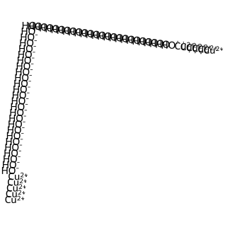 [Cu+2].[Cu+2].[Cu+2].[Cu+2].[Cu+2].[Cu+2].[Cu+2].[Cu+2].[Cu+2].[Cu+2].[Cu+2].[OH-].[OH-].[OH-].[OH-].[OH-].[OH-].[OH-].[OH-].[OH-].[OH-].[OH-].[OH-].[OH-].[OH-].[OH-].[OH-].[OH-].[OH-].[OH-].[OH-].[OH-].[OH-].[OH-].[OH-].[OH-].[OH-].[OH-].[OH-].[OH-].[OH-].[OH-].[OH-].[OH-].[OH-].[OH-].[OH-].[OH-].[OH-].[OH-].[OH-].[OH-].[OH-].[OH-].[OH-].[OH-].[OH-].[OH-].[OH-].[OH-].[OH-]